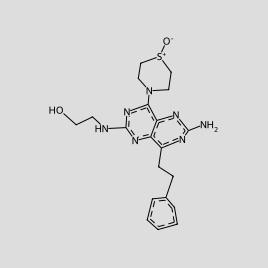 Nc1nc(CCc2ccccc2)c2nc(NCCO)nc(N3CC[S+]([O-])CC3)c2n1